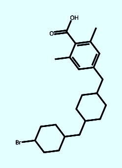 Cc1cc(CC2CCC(CC3CCC(Br)CC3)CC2)cc(C)c1C(=O)O